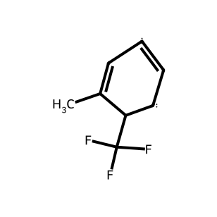 CC1=C[C]=C[C]C1C(F)(F)F